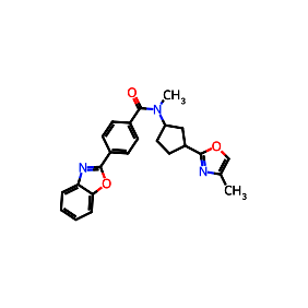 Cc1coc(C2CCC(N(C)C(=O)c3ccc(-c4nc5ccccc5o4)cc3)C2)n1